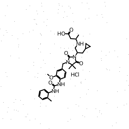 COc1cc(CN2C(=O)N(C(CNC(C)CC(=O)O)CC3CC3)C(=O)C2(C)C)ccc1NC(=O)Nc1ccccc1C.Cl